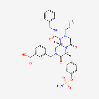 C=CCN1CC(=O)N2[C@@H](Cc3ccc(OS(N)(=O)=O)cc3)C(=O)N(Cc3cccc(C(=O)O)c3)C[C@@H]2N1C(=O)NCc1ccccc1